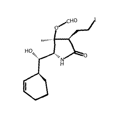 C[C@@]1(OC=O)[C@@H]([C@@H](O)[C@@H]2C=CCCC2)NC(=O)[C@@H]1CCI